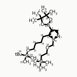 CC1(C)OB(c2cnn(COCC[Si](C)(C)C)c2CCCCO[Si](C)(C)C(C)(C)C)OC1(C)C